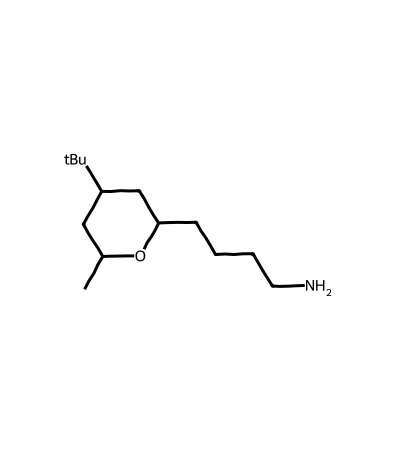 CC1CC(C(C)(C)C)CC(CCCCN)O1